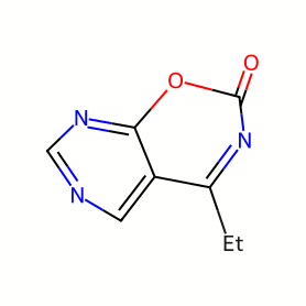 CCc1nc(=O)oc2ncncc12